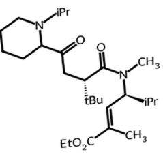 CCOC(=O)/C(C)=C/[C@H](C(C)C)N(C)C(=O)[C@@H](CC(=O)C1CCCCN1C(C)C)C(C)(C)C